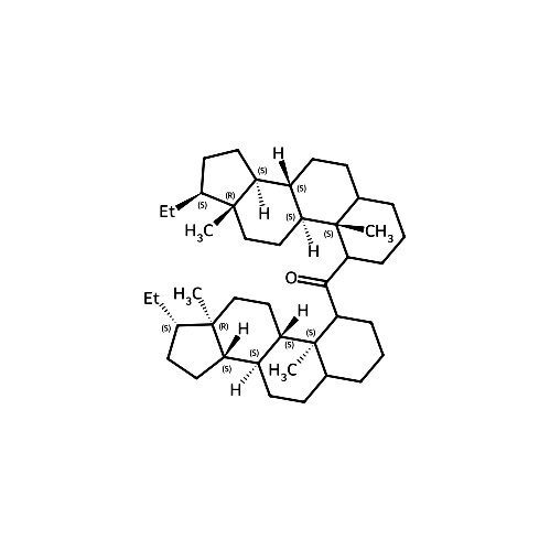 CC[C@H]1CC[C@H]2[C@@H]3CCC4CCCC(C(=O)C5CCCC6CC[C@@H]7[C@H](CC[C@]8(C)[C@@H](CC)CC[C@@H]78)[C@]65C)[C@]4(C)[C@H]3CC[C@]12C